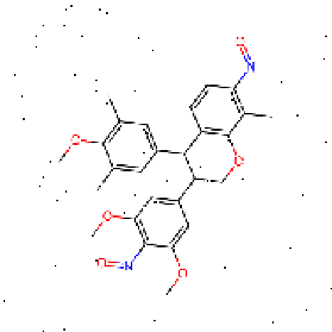 COc1cc(C2COc3c(ccc(N=O)c3C)C2c2cc(C)c(OC)c(C)c2)cc(OC)c1N=O